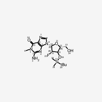 Cn1c(N)nc2c(ncn2[C@@H]2O[C@H](CO)C(O[Si](C)(C)C(C)(C)C)[C@H]2F)c1=O